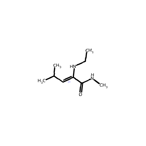 CCN/C(=C\C(C)C)C(=O)NC